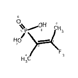 CC(F)=C(C)P(=O)(O)O